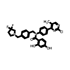 Cc1cnc(Cl)nc1-c1ccc(N(Cc2ccc(CN3CCC(F)(F)C3)cc2)C(=O)c2ccc(O)cc2O)cc1